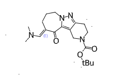 CN(C)/C=C1\CCCn2nc3c(c2C1=O)CN(C(=O)OC(C)(C)C)CC3